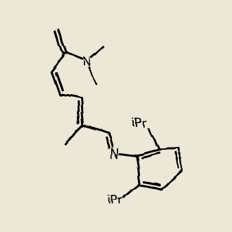 C=C(\C=C/C=C(C)/C=N/c1c(C(C)C)cccc1C(C)C)N(C)C